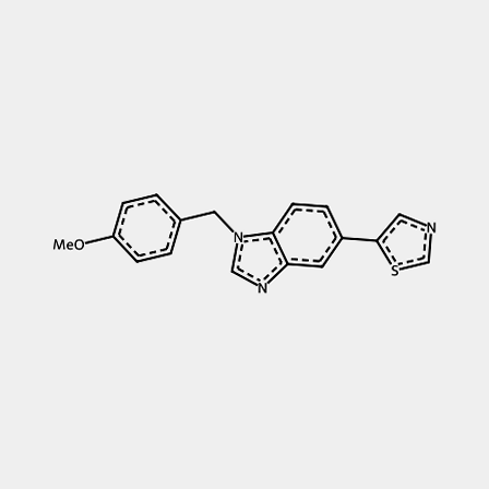 COc1ccc(Cn2cnc3cc(-c4cncs4)ccc32)cc1